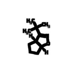 CC(C)(C)C1=NO[C@@H]2CCC[C@H]12